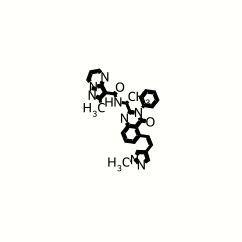 Cc1nn2cccnc2c1C(=O)NC(C)c1nc2cccc(/C=C\c3cnn(C)c3)c2c(=O)n1-c1ccccc1